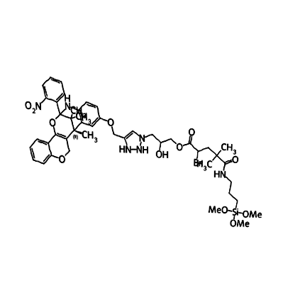 CO[Si](CCCNC(=O)C(C)(C)CC(Br)C(=O)OCC(O)CN1C=C(COc2ccc3c(c2)[C@]2(C)C4=C(OC(c5ccccc5[N+](=O)[O-])(N3)C2(C)C)c2ccccc2OC4)NN1)(OC)OC